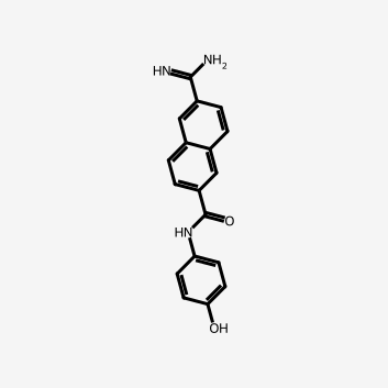 N=C(N)c1ccc2cc(C(=O)Nc3ccc(O)cc3)ccc2c1